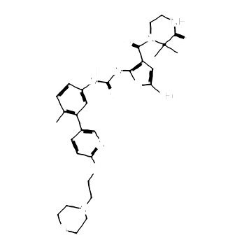 Cc1ccc(NC(=O)Nc2sc(C(C)(C)C)cc2C(=O)N2CCNC(=O)C2(C)C)cc1-c1ccc(OCCN2CCOCC2)nc1